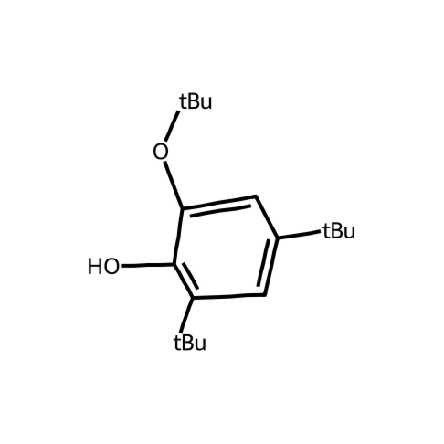 CC(C)(C)Oc1cc(C(C)(C)C)cc(C(C)(C)C)c1O